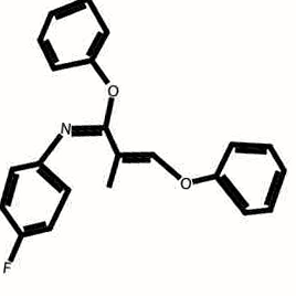 CC(=C\Oc1ccccc1)/C(=N\c1ccc(F)cc1)Oc1ccccc1